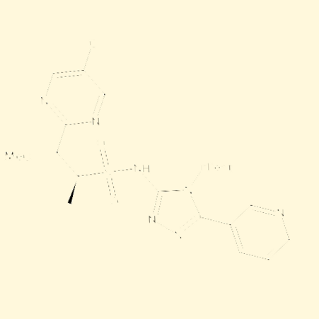 CCCCCn1c(NS(=O)(=O)[C@@H](C)[C@H](OC)c2ncc(Cl)cn2)nnc1-c1cccnc1